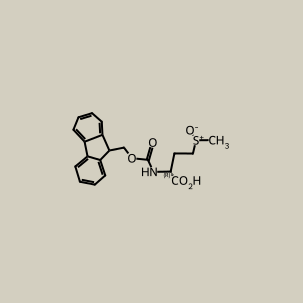 C[S+]([O-])CC[C@@H](NC(=O)OCC1c2ccccc2-c2ccccc21)C(=O)O